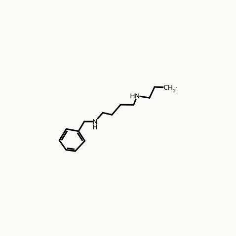 [CH2]CCNCCCCNCc1ccccc1